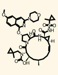 COc1ccc2c(O[C@@H]3C[C@H]4C(=O)N[C@]5(C(=O)NS(=O)(=O)C6(C)CC6)C[C@H]5/C=C\CC[C@@H](C)C[C@@H](C)[C@H](N(CC5(C)CC5)C(=O)O)C(=O)N4C3)nc(N3CCOCC3)cc2c1